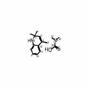 CC1=CC(C)(C)Nc2ccccc21.CN(C)C(O)=S